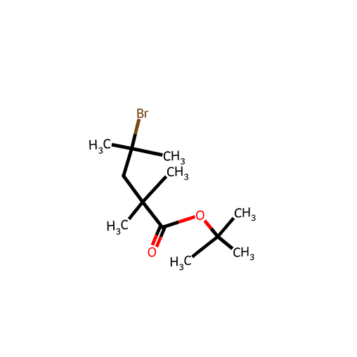 CC(C)(Br)CC(C)(C)C(=O)OC(C)(C)C